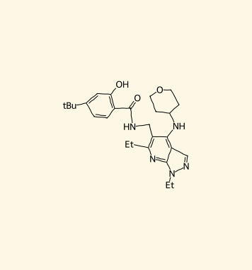 CCc1nc2c(cnn2CC)c(NC2CCOCC2)c1CNC(=O)c1ccc(C(C)(C)C)cc1O